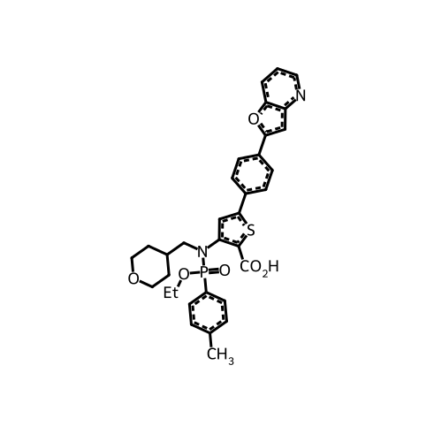 CCOP(=O)(c1ccc(C)cc1)N(CC1CCOCC1)c1cc(-c2ccc(-c3cc4ncccc4o3)cc2)sc1C(=O)O